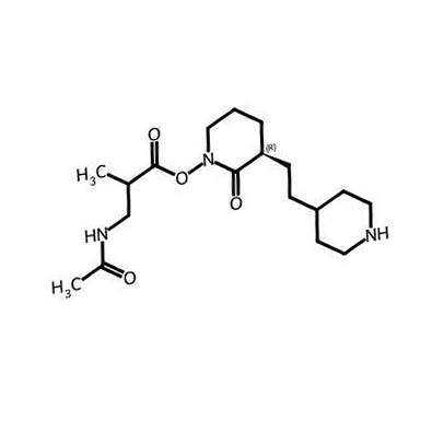 CC(=O)NCC(C)C(=O)ON1CCC[C@@H](CCC2CCNCC2)C1=O